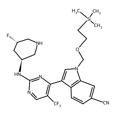 C[Si](C)(C)CCOCn1cc(-c2nc(N[C@@H]3CNC[C@@H](F)C3)ncc2C(F)(F)F)c2ccc(C#N)cc21